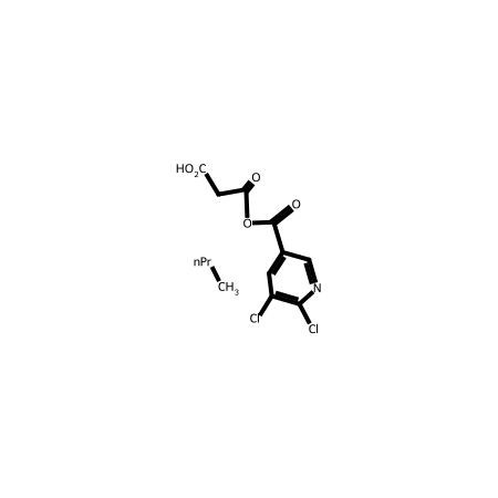 CCCC.O=C(O)CC(=O)OC(=O)c1cnc(Cl)c(Cl)c1